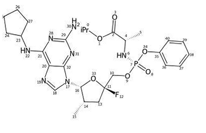 CC(C)OC(=O)[C@H](C)N[P@](=O)(OC[C@]1(F)C[C@H](C)[C@H](n2cnc3c(NC4CCCC4)nc(N)nc32)O1)Oc1ccccc1